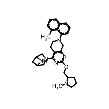 Cc1cccc2cccc(N3CCc4c(nc(OCC5CCCN5C)nc4N4CC5CC(C4)N5)C3)c12